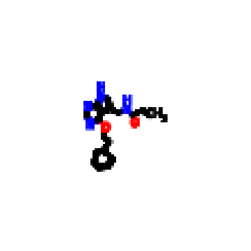 C=CC(=O)NCc1c[nH]c2ncnc(OCCc3ccccc3)c12